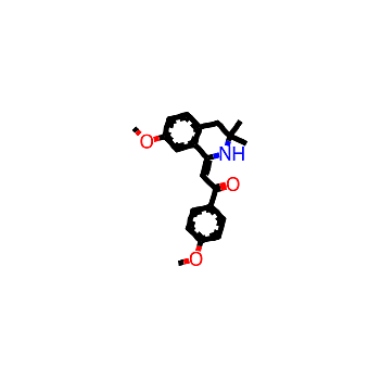 COc1ccc(C(=O)/C=C2\NC(C)(C)Cc3ccc(OC)cc32)cc1